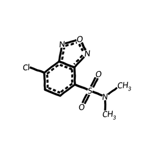 CN(C)S(=O)(=O)c1ccc(Cl)c2nonc12